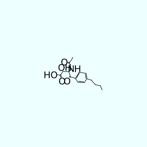 CCCCc1ccc(C(=O)C(NC(C)=O)C(O)C(=O)O)cc1